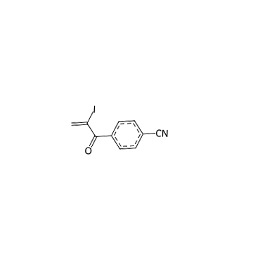 C=C(I)C(=O)c1ccc(C#N)cc1